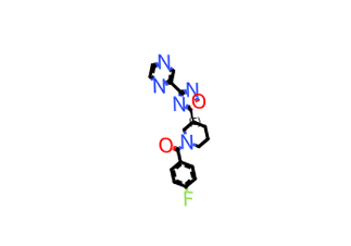 O=C(c1ccc(F)cc1)N1CCC[C@H](c2nc(-c3cnccn3)no2)C1